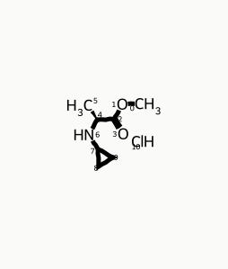 COC(=O)[C@H](C)NC1CC1.Cl